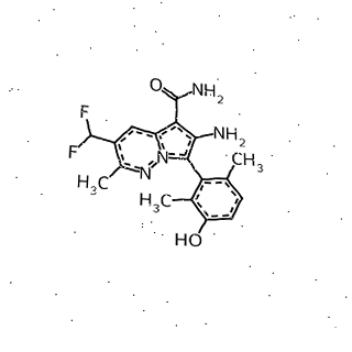 Cc1ccc(O)c(C)c1-c1c(N)c(C(N)=O)c2cc(C(F)F)c(C)nn12